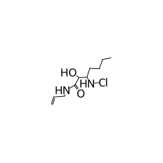 C=CCNC(=O)C(O)C(CCCC)NCl